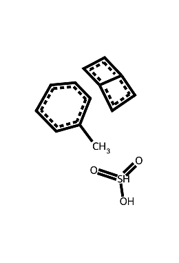 Cc1ccccc1.O=[SH](=O)O.c1cc2ccc1-2